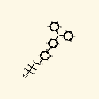 CC(C)(O)C(C)(C)OBc1ccc(-c2ccc(N(c3ccccc3)c3ccccc3)cc2)nc1